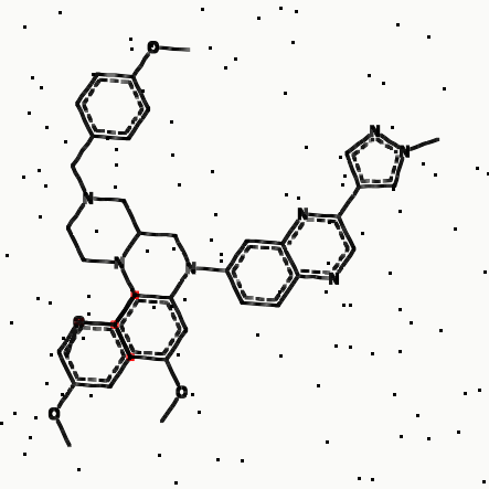 COc1ccc(CN2CCN(Cc3ccc(OC)cc3)C(CN(c3cc(OC)cc(OC)c3)c3ccc4ncc(-c5cnn(C)c5)nc4c3)C2)cc1